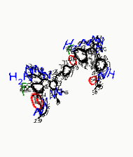 C#Cc1nc2cc(-c3c(-c4ccc(Oc5nccc(C)n5)c(F)c4)c4c(N)ncnc4n3C)c(Cc3ccc(COc4ccc(-c5c(-c6ccc(NC(=O)C(=C)C)cc6)n(C)c6ncnc(N)c56)cc4F)cc3)cc2n1C